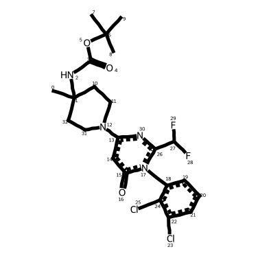 CC1(NC(=O)OC(C)(C)C)CCN(c2cc(=O)n(-c3cccc(Cl)c3Cl)c(C(F)F)n2)CC1